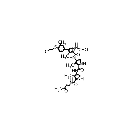 Cc1cc(-c2cn(NC=O)c(C(=O)Nc3c[nH]c(C(=O)Nc4c[nH]c(C(=O)NCCC(N)=O)c4C)c3C)c2C)ccc1SCCCl